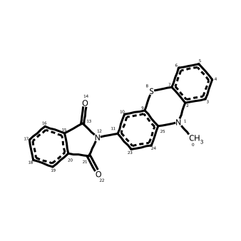 CN1c2ccccc2Sc2cc(N3C(=O)c4ccccc4C3=O)ccc21